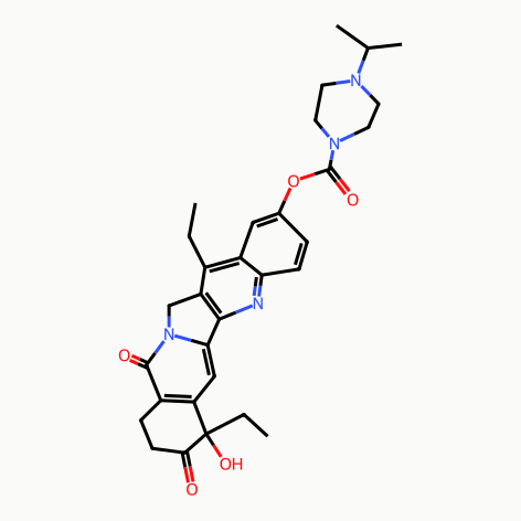 CCc1c2c(nc3ccc(OC(=O)N4CCN(C(C)C)CC4)cc13)-c1cc3c(c(=O)n1C2)CCC(=O)C3(O)CC